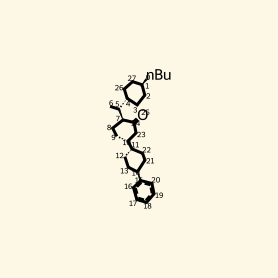 CCCC[C@H]1CC[C@H](C(C)[C@@H]2CC[C@@H]([C@H]3CC[C@H](c4ccccc4)CC3)CC2=O)CC1